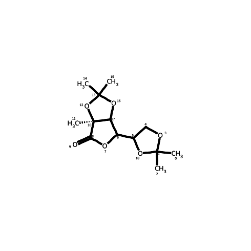 CC1(C)OCC(C2OC(=O)[C@@]3(C)OC(C)(C)OC23)O1